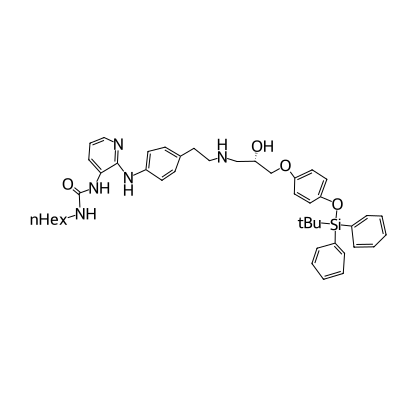 CCCCCCNC(=O)Nc1cccnc1Nc1ccc(CCNC[C@H](O)COc2ccc(O[Si](c3ccccc3)(c3ccccc3)C(C)(C)C)cc2)cc1